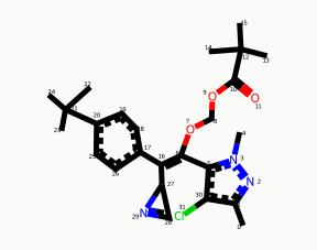 Cc1nn(C)c(/C(OCOC(=O)C(C)(C)C)=C(/c2ccc(C(C)(C)C)cc2)C2C=N2)c1Cl